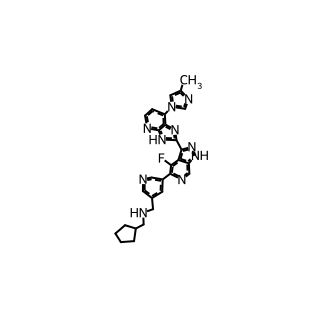 Cc1cn(-c2ccnc3[nH]c(-c4n[nH]c5cnc(-c6cncc(CNCC7CCCC7)c6)c(F)c45)nc23)cn1